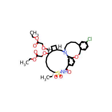 CCOC(=O)COC[C@]1(OCC(=O)OCC)CCCC[C@@H](CC)S(=O)(=O)NC(=O)c2ccc3c(c2)N(CCCCc2cc(Cl)ccc2CO3)C[C@@H]2CC[C@H]21